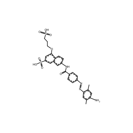 Cc1cc(N=Nc2ccc(C(=O)Nc3ccc4c(OCCCS(=O)(=O)O)cc(S(=O)(=O)O)cc4c3)cc2)c(C)cc1N